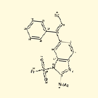 CC(=O)Nc1nc2ccc(/C(=C/C#N)c3ccccc3)cc2n1S(=O)(=O)C(C)C